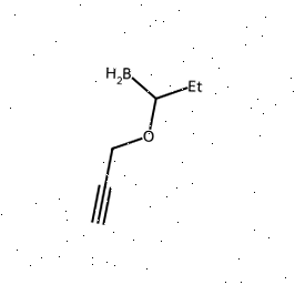 BC(CC)OCC#C